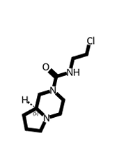 O=C(NCCCl)N1CCN2CCC[C@H]2C1